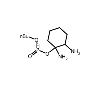 CCCCO[PH](=O)OC1(N)CCCCC1N